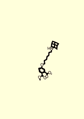 COC(=O)c1ccc(OCCCCCCCNC23CC4CC5CC(C2)C543)cc1C(=O)OC